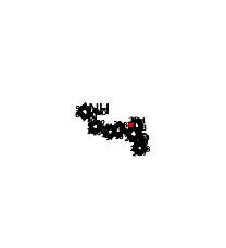 CC1NC2C=CC=CC2N1c1cccc(-c2ccc3cc(-c4cc5c6ccccc6oc5c5ccccc45)ccc3c2)c1